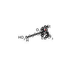 CCOc1ccc(C(=O)N2CCN(c3ccc(-c4ccccc4OCC)cc3CN(CCN(CCCOCCOCCOCCOCCNC(=O)O)S(=O)(=O)c3ccccc3[N+](=O)[O-])S(=O)(=O)c3ccccc3[N+](=O)[O-])[C@H](CC)C2)c(C(F)(F)F)c1